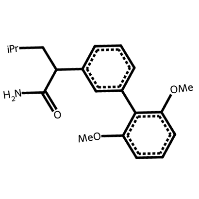 COc1cccc(OC)c1-c1cccc(C(CC(C)C)C(N)=O)c1